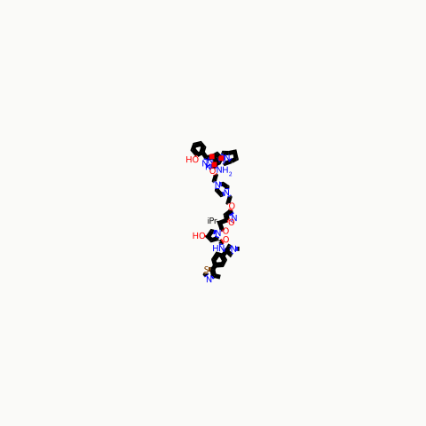 Cc1ncsc1-c1ccc(C2(NC(=O)[C@@H]3C[C@@H](O)CN3C(=O)[C@@H](c3cc(OCCN4CCN(CCOc5cc(N6C7CCC6CN(c6cc(-c8ccccc8O)nnc6N)C7)ccn5)CC4)no3)C(C)C)CN(C)C2)cc1